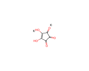 O=c1c(O)c(O)c(=O)c1=O.[K].[K]